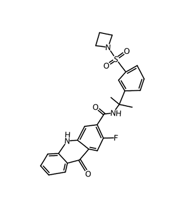 CC(C)(NC(=O)c1cc2[nH]c3ccccc3c(=O)c2cc1F)c1cccc(S(=O)(=O)N2CCC2)c1